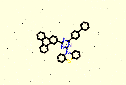 c1ccc(-c2ccc(-c3nc(-c4ccc5c6ccccc6c6ccccc6c5c4)nc(N4c5ccccc5Sc5ccccc54)n3)cc2)cc1